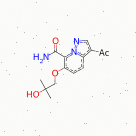 CC(=O)c1cnn2c(C(N)=O)c(OCC(C)(C)O)ccc12